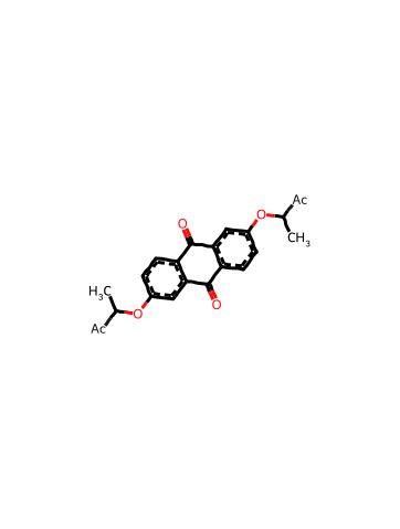 CC(=O)C(C)Oc1ccc2c(c1)C(=O)c1ccc(OC(C)C(C)=O)cc1C2=O